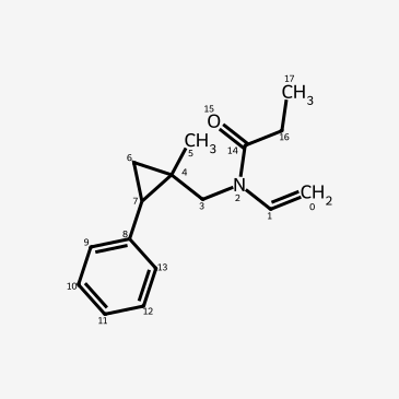 C=CN(CC1(C)CC1c1ccccc1)C(=O)CC